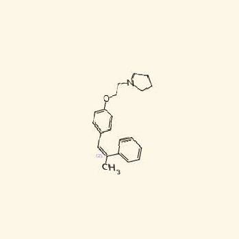 C/C(=C/c1ccc(OCCN2CCCC2)cc1)c1ccccc1